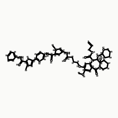 C=CCOC(=O)N1c2cc(OCCCC(=O)Nc3cc(C(=O)Nc4ccc(-c5cc(C)c(C(=O)Nc6ccccc6)s5)nc4)n(C)c3)c(OC)cc2C(=O)N2CCCC[C@H]2C1OC1CCCCO1